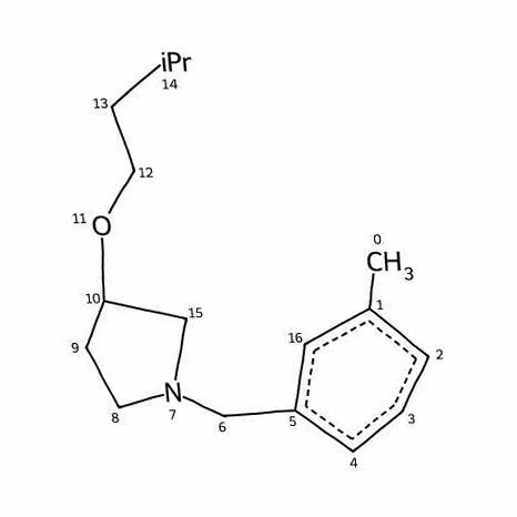 Cc1cccc(CN2CCC(OCCC(C)C)C2)c1